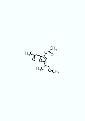 COCC(C)[C@@H]1C[C@@H](OC(C)=O)C(OC(C)=O)O1